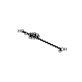 O=C(O)CCCCCCCCCCCCCCCCCCC(=O)NC(CCC(=O)NCCOCCO)C(=O)O